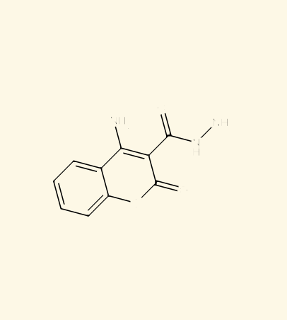 NNC(=O)c1c(N)c2ccccc2oc1=O